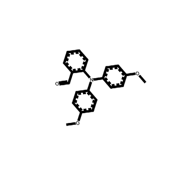 COc1ccc(N(c2ccc(OC)cc2)c2ccccc2C=O)cc1